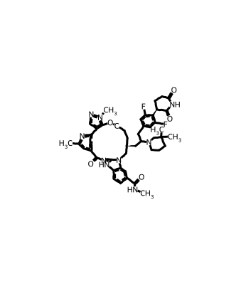 CNC(=O)c1ccc2c(c1)N1C[C@H](CC(Cc3cc(F)c([C@H]4CCC(=O)NC4=O)c(F)c3)N3CCCC(C)(C)C3)CCCOc3c(cnn3C)-c3cc(cc(C)n3)C(=O)/N=C/1N2